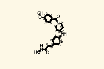 COc1ccc(C(=O)N2CCC(Nc3ccc(C=CC(=O)NO)cn3)CC2)cc1.Cl